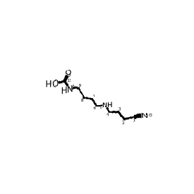 N#CCCCNCCCCNC(=O)O